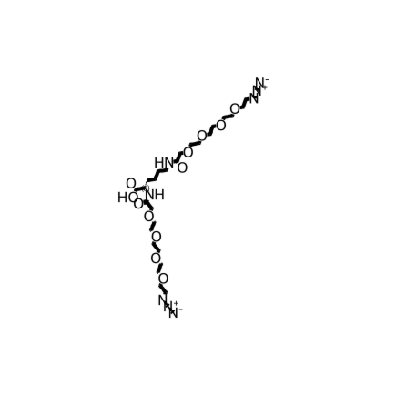 [N-]=[N+]=NCCOCCOCCOCCOCC(=O)NCCCC[C@H](NC(=O)COCCOCCOCCOCCN=[N+]=[N-])C(=O)O